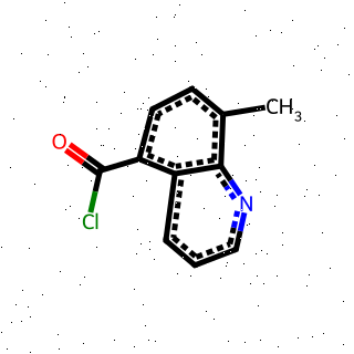 Cc1ccc(C(=O)Cl)c2cccnc12